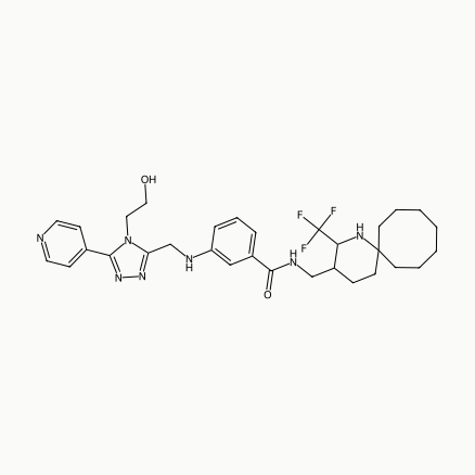 O=C(NCC1CCC2(CCCCCCC2)NC1C(F)(F)F)c1cccc(NCc2nnc(-c3ccncc3)n2CCO)c1